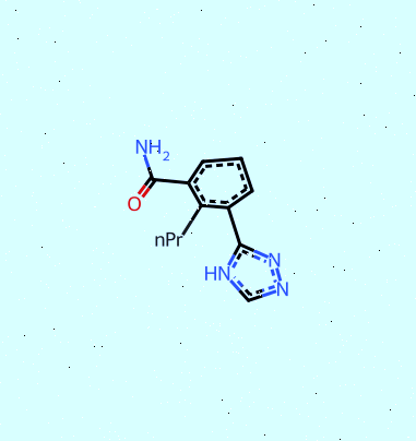 CCCc1c(C(N)=O)cccc1-c1nnc[nH]1